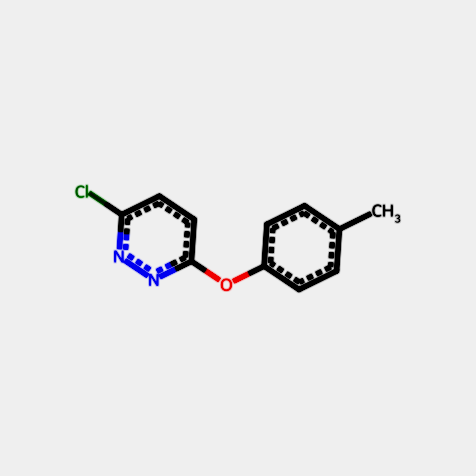 Cc1ccc(Oc2ccc(Cl)nn2)cc1